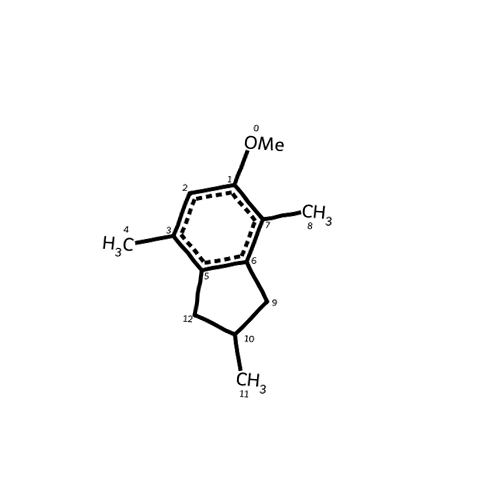 COc1cc(C)c2c(c1C)CC(C)C2